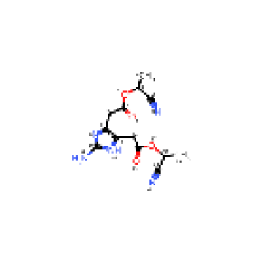 CC(C#N)OC(=O)Cc1nc(N)[nH]c1CC(=O)OC(C)C#N